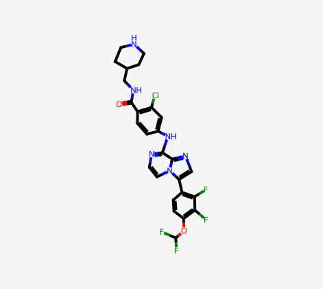 O=C(NCC1CCNCC1)c1ccc(Nc2nccn3c(-c4ccc(OC(F)F)c(F)c4F)cnc23)cc1Cl